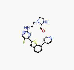 O=CC1NCCN1CCNc1ncc(F)c(-c2cc3cccc(-c4ccncc4)c3s2)n1